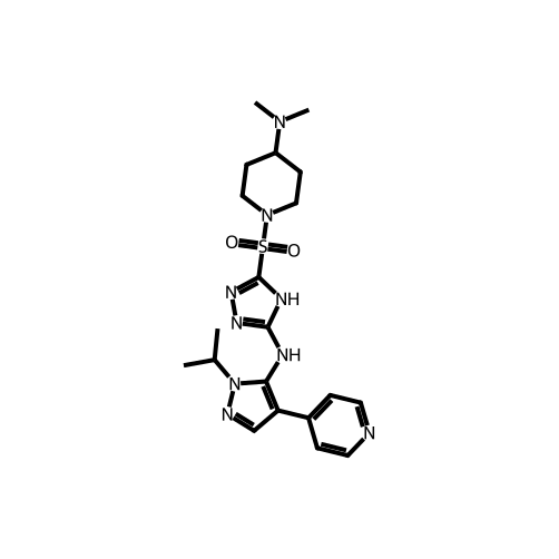 CC(C)n1ncc(-c2ccncc2)c1Nc1nnc(S(=O)(=O)N2CCC(N(C)C)CC2)[nH]1